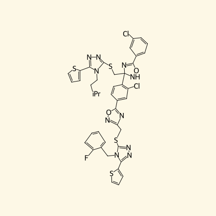 CC(C)CCn1c(SCC2(c3ccc(-c4nc(CSc5nnc(-c6cccs6)n5Cc5ccccc5F)no4)cc3Cl)N=C(c3cccc(Cl)c3)ON2)nnc1-c1cccs1